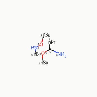 CCCCNOCCCC.CCCCOC(N)CCC